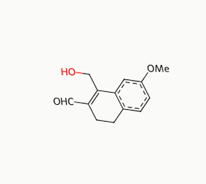 COc1ccc2c(c1)C(CO)=C(C=O)CC2